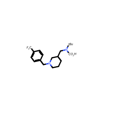 CC(C)(C)N(CC1CCCN(Cc2ccc(C(F)(F)F)cc2)C1)C(=O)O